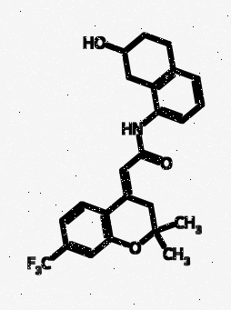 CC1(C)C/C(=C\C(=O)Nc2cccc3c2CC(O)CC3)c2ccc(C(F)(F)F)cc2O1